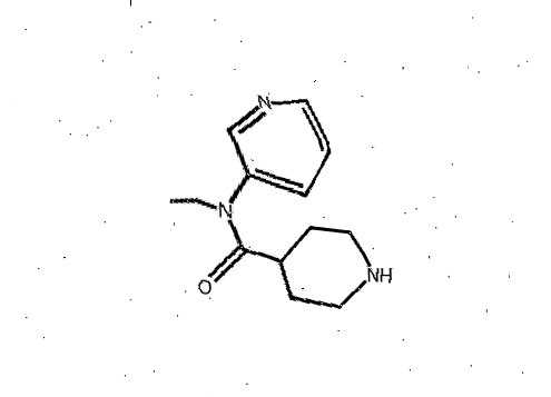 CN(C(=O)C1CCNCC1)c1cccnc1